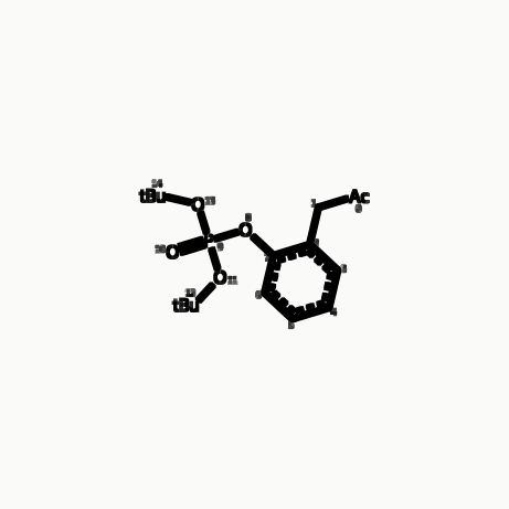 CC(=O)Cc1ccccc1OP(=O)(OC(C)(C)C)OC(C)(C)C